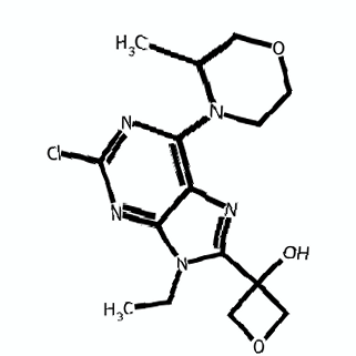 CCn1c(C2(O)COC2)nc2c(N3CCOCC3C)nc(Cl)nc21